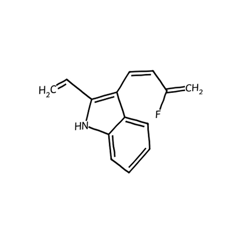 C=Cc1[nH]c2ccccc2c1/C=C\C(=C)F